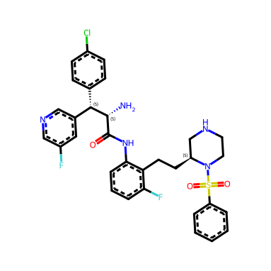 N[C@H](C(=O)Nc1cccc(F)c1CC[C@H]1CNCCN1S(=O)(=O)c1ccccc1)[C@@H](c1ccc(Cl)cc1)c1cncc(F)c1